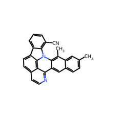 Cc1ccc2cc3c4nccc5ccc6c7cccc(C#N)c7n(c3c(C)c2c1)c6c54